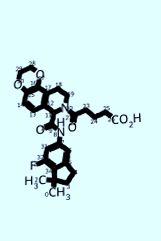 CC1(C)CCc2cc(NC(=O)C3c4ccc5c(c4CCN3C(=O)CCCC(=O)O)OCCO5)cc(F)c21